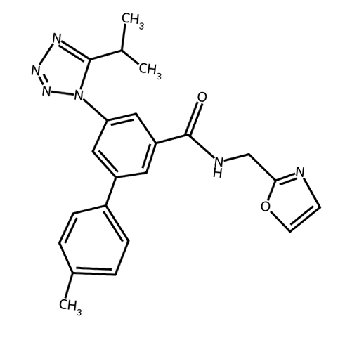 Cc1ccc(-c2cc(C(=O)NCc3ncco3)cc(-n3nnnc3C(C)C)c2)cc1